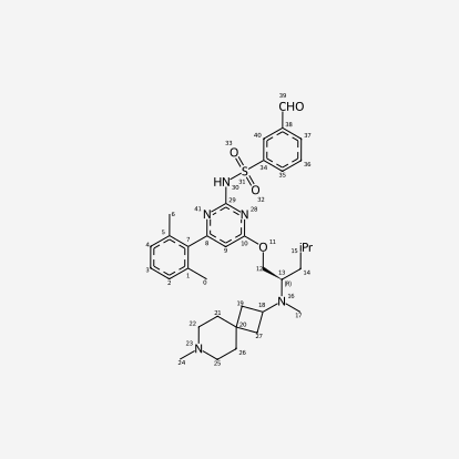 Cc1cccc(C)c1-c1cc(OC[C@@H](CC(C)C)N(C)C2CC3(CCN(C)CC3)C2)nc(NS(=O)(=O)c2cccc(C=O)c2)n1